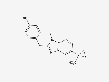 Cn1c(Cc2ccc(C#N)cc2)nc2cc(C3(C(=O)O)CC3)ccc21